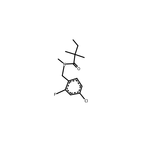 CCC(C)(C)C(=O)N(C)Cc1ccc(Cl)cc1F